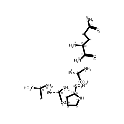 CC(C)[C@H](N)C(=O)O.CC(C)[C@H](N)C(=O)O.C[C@H](N)C(=O)O.NC(=O)CC[C@H](N)C(N)=O.O=C(O)[C@@H]1CCCN1